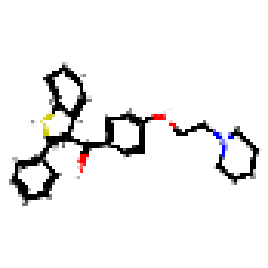 O=C(c1ccc(OCCN2CCCCC2)cc1)c1c(-c2ccccc2)sc2ccccc12